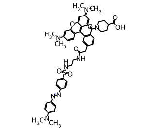 CN(C)c1ccc(/N=N/c2ccc(S(=O)(=O)NCCNC(=O)Cc3ccc(C(=O)N4CCC(C(=O)O)CC4)c(-c4c5ccc(=[N+](C)C)cc-5oc5cc(N(C)C)ccc45)c3)cc2)cc1